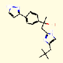 CC(C)(C)Cc1c[nH]c(CC(C)(O)c2ccc(-c3cc[nH]n3)cc2)n1